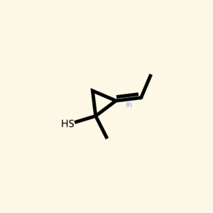 C/C=C1\CC1(C)S